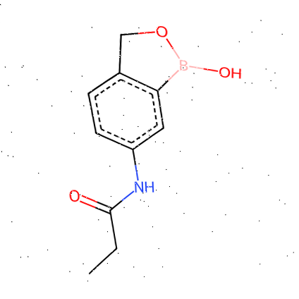 CCC(=O)Nc1ccc2c(c1)B(O)OC2